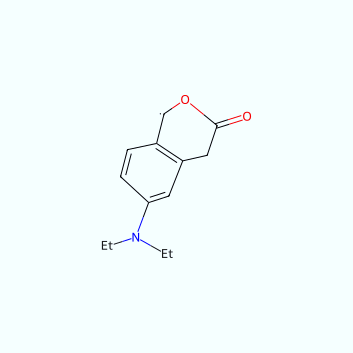 CCN(CC)c1ccc2c(c1)CC(=O)O[CH]2